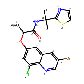 COC(Oc1cc(Cl)c2ncc(Br)cc2c1)C(=O)NC(C)(C)c1nccs1